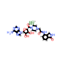 Cl.Cl.Nc1ncnc2c1ncn2[C@@H]1O[C@H](C(=O)N2CCN(CC(=O)Nc3cccc4c3CNC4=O)CC2)C(O)C1O